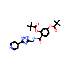 CC(C)(C)C(=O)Oc1ccc(C(=O)NCc2nc(-c3ccncc3)n[nH]2)c(OC(=O)C(C)(C)C)c1